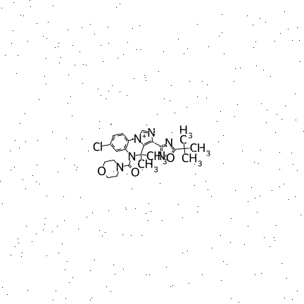 CC(C)(C)c1nc(C2=C3[N+](C=N2)c2ccc(Cl)cc2N(C(=O)N2CCOCC2)C3(C)C)no1